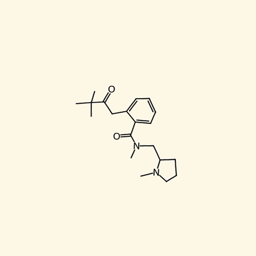 CN(CC1CCCN1C)C(=O)c1ccccc1CC(=O)C(C)(C)C